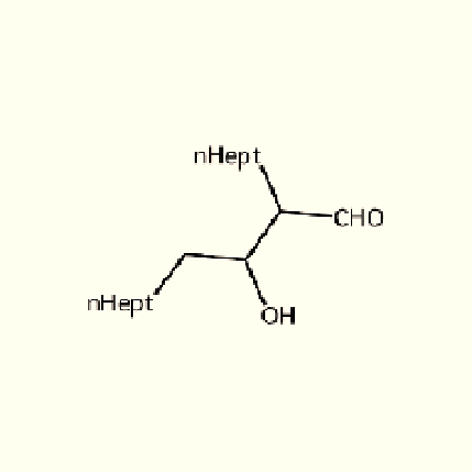 CCCCCCCCC(O)C(C=O)CCCCCCC